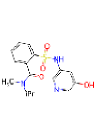 CC(C)N(C)C(=O)c1ccccc1S(=O)(=O)Nc1cncc(O)c1